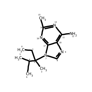 CCC(C)(C(C)C)n1cnc2c(N)nc(C)nc21